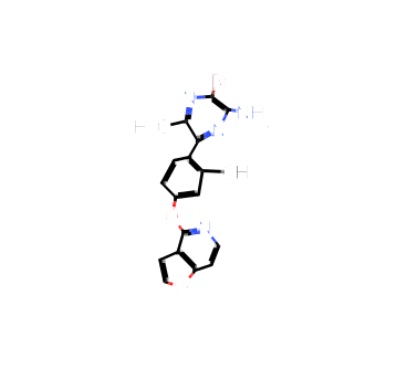 Cc1cc(Oc2nccc3occc23)ccc1-c1nc(N)c(Br)nc1C